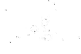 COc1ccc2c(c1)OC(O)(c1ccccc1)C(F)(F)C2c1cc(C(C)(C)C)c(O)c(C(C)(C)C)c1